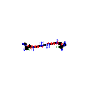 Cc1cc(S(=O)(=O)NCCOCCOCCNC(=O)NCCCCNC(=O)NCCOCCOCCNS(=O)(=O)c2ccc(O[C@H]3c4cc(Cl)cc(C#N)c4C[C@@H]3N3CCC[C@@H](N(C)C)C3)c(C)c2)ccc1O[C@H]1c2cc(Cl)cc(C#N)c2C[C@@H]1N1CCC[C@@H](N(C)C)C1